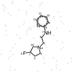 FC1CCN(CCNc2ccccn2)C1